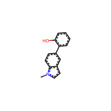 Cn1ccc2cc(-c3ccccc3O)ccc21